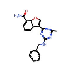 Cc1nc(NCc2ccccc2)nc(C2=COC3C(C(N)=O)=CC=CC23)n1